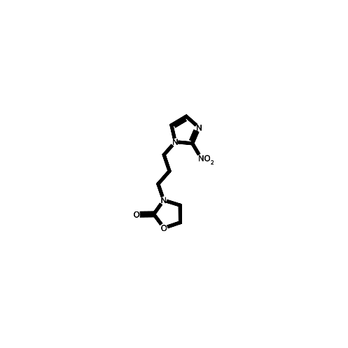 O=C1OCCN1CCCn1ccnc1[N+](=O)[O-]